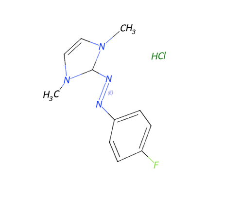 CN1C=CN(C)C1/N=N/c1ccc(F)cc1.Cl